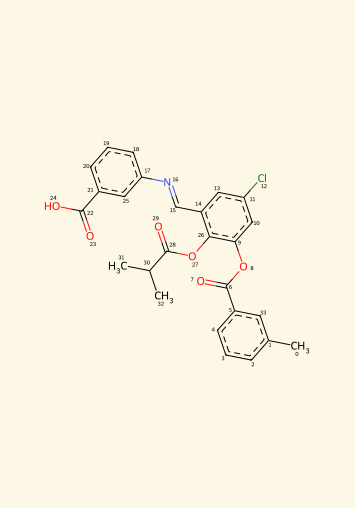 Cc1cccc(C(=O)Oc2cc(Cl)cc(C=Nc3cccc(C(=O)O)c3)c2OC(=O)C(C)C)c1